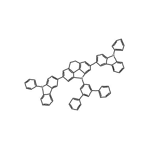 c1ccc(-c2cc(-c3ccccc3)cc(-n3c4cc(-c5ccc6c(c5)c5ccccc5n6-c5ccccc5)cc5c4c4c(cc(-c6ccc7c(c6)c6ccccc6n7-c6ccccc6)cc43)CC5)c2)cc1